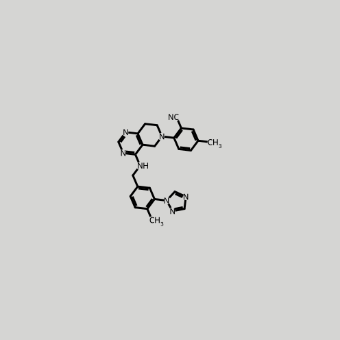 Cc1ccc(N2CCc3ncnc(NCc4ccc(C)c(-n5cncn5)c4)c3C2)c(C#N)c1